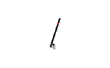 CCCCCCCCCCCCCCCCCCCCCCCCCCCC=CN(CCCO)CCCO